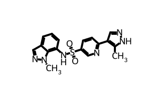 Cc1[nH]ncc1-c1ccc(S(=O)(=O)Nc2cccc3cnn(C)c23)cn1